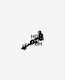 COc1ccc2nccc([C@@H](O)CC[C@@H]3CCN(CCCSc4ccc(C)s4)C[C@@H]3C(=O)O)c2c1